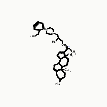 C/C(=N/OCC(O)CN1CCN(c2ccccc2CO)CC1)C1=CCC2C3CC=C4CC(O)CCC4(C)C3CCC12C